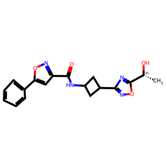 C[C@@H](O)c1nc(C2CC(NC(=O)c3cc(-c4ccccc4)on3)C2)no1